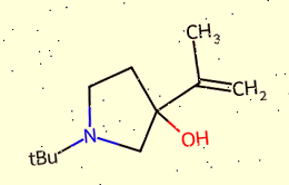 C=C(C)C1(O)CCN(C(C)(C)C)C1